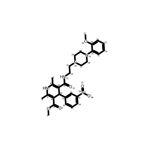 COC(=O)C1=C(C)NC(C)=C(C(=O)NCCN2CCN(c3ccccc3OC)CC2)C1c1cccc([N+](=O)[O-])c1